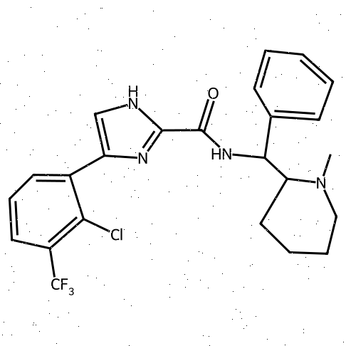 CN1CCCCC1C(NC(=O)c1nc(-c2cccc(C(F)(F)F)c2Cl)c[nH]1)c1ccccc1